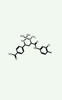 CN1C(C(=O)Nc2ccc(F)c(Cl)c2)CC(c2ccc(C(=O)O)cc2)NS1(O)O